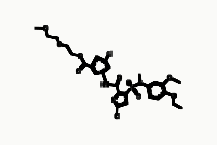 CCOc1ccc(N(C)S(=O)(=O)c2cc(Cl)sc2C(=O)Nc2cc(Cl)cc(C(=O)OCCOCCOC)c2)cc1OC